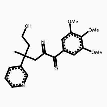 COc1cc(C(=O)C(=N)CC(C)(CCO)c2cccnc2)cc(OC)c1OC